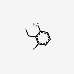 Cc1cccc(F)c1CCl